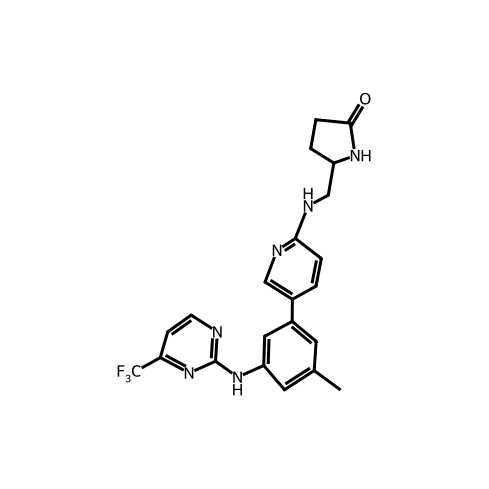 Cc1cc(Nc2nccc(C(F)(F)F)n2)cc(-c2ccc(NCC3CCC(=O)N3)nc2)c1